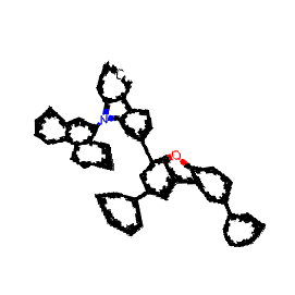 c1ccc(-c2ccc3oc4c(-c5ccc6c7ccccc7n(-c7cc8ccccc8c8ccccc78)c6c5)cc(-c5ccccc5)cc4c3c2)cc1